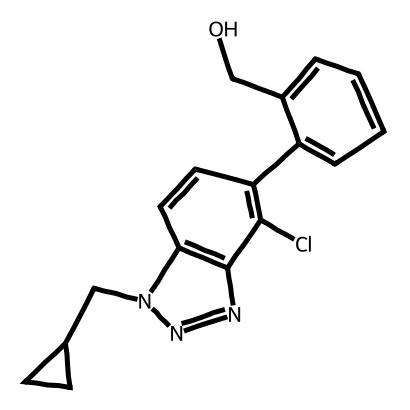 OCc1ccccc1-c1ccc2c(nnn2CC2CC2)c1Cl